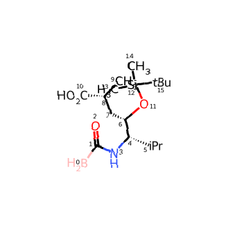 BC(=O)N[C@@H](C(C)C)[C@H](C[C@@H](C)C(=O)O)O[Si](C)(C)C(C)(C)C